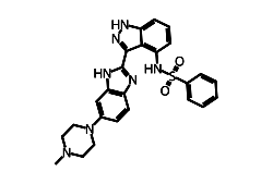 CN1CCN(c2ccc3nc(-c4n[nH]c5cccc(NS(=O)(=O)c6ccccc6)c45)[nH]c3c2)CC1